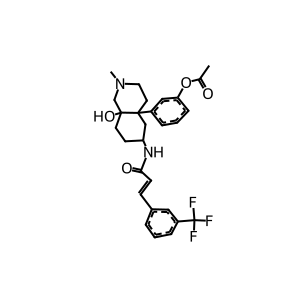 CC(=O)Oc1cccc(C23CCN(C)CC2(O)CCC(NC(=O)/C=C/c2cccc(C(F)(F)F)c2)C3)c1